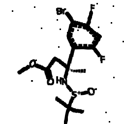 COC(=O)C[C@](C)(N[S+]([O-])C(C)(C)C)c1cc(Br)c(F)cc1F